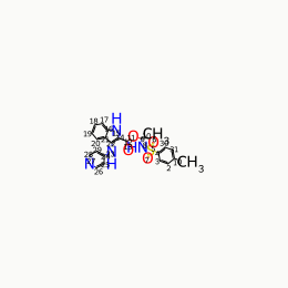 Cc1ccc(S(=O)(=O)NC(C)OC(=O)c2[nH]c3ccccc3c2Nc2ccncc2)cc1